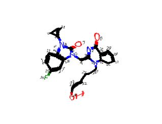 O=c1nc(Cn2c(=O)n(C3CC3)c3ccc(F)cc32)n(CCCCO)c2ccccc12